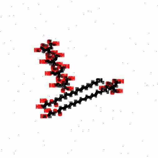 CCCCCCCCCCCCCCCCCC(=O)OCC(O)CO.CCCCCCCCCCCCCCCCCC(=O)OCC(O)CO.O=C(O)CC(O)(CC(=O)O)C(=O)O.O=C(O)CC(O)(CC(=O)O)C(=O)O.O=C(O)CC(O)(CC(=O)O)C(=O)O.O=C(O)CC(O)(CC(=O)O)C(=O)O.O=C(O)CC(O)(CC(=O)O)C(=O)O